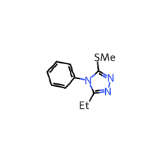 CCc1nnc(SC)n1-c1ccccc1